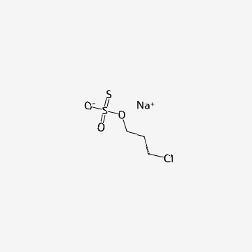 O=S([O-])(=S)OCCCCl.[Na+]